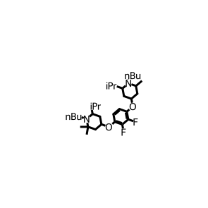 CCCCN1C(C)CC(Oc2ccc(OC3CC(C(C)C)N(CCCC)C(C)(C)C3)c(F)c2F)CC1C(C)C